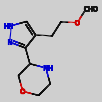 O=COCCc1c[nH]nc1C1COCCN1